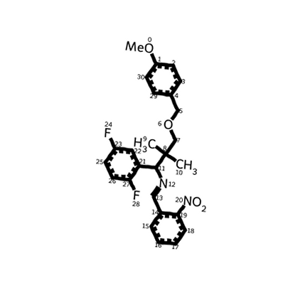 COc1ccc(COCC(C)(C)C(/N=C/c2ccccc2[N+](=O)[O-])c2cc(F)ccc2F)cc1